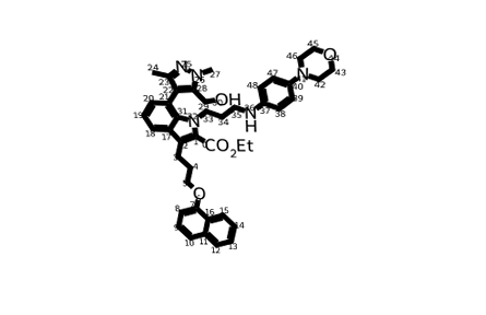 CCOC(=O)c1c(CCCOc2cccc3ccccc23)c2cccc(-c3c(C)nn(C)c3CO)c2n1CCCNc1ccc(N2CCOCC2)cc1